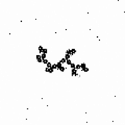 Cc1ccc(N(c2ccc(-c3ccc(N(c4ccc(Cc5cc(-c6ccc(N(c7ccc(-c8ccc(N(c9ccc(-c%10cccc%11c%10oc%10ccccc%10%11)cc9)c9cccc%10ccccc9%10)cc8)cc7)c7cccc8ccccc78)cc6)c6oc7ccccc7c6c5)cc4)c4ccc(-c5cccc6c5oc5ccccc56)cc4)cc3)cc2)c2ccc(-c3cccc4c3oc3ccccc34)cc2)cc1